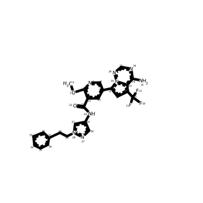 COc1ncc(-c2cc(C(F)(F)F)c3c(N)ncnn23)cc1C(=O)Nc1cnn(CCc2ccccc2)c1